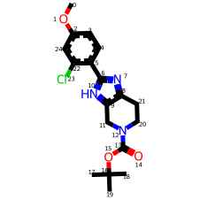 COc1ccc(-c2nc3c([nH]2)CN(C(=O)OC(C)(C)C)CC3)c(Cl)c1